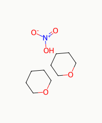 C1CCOCC1.C1CCOCC1.O=[N+]([O-])O